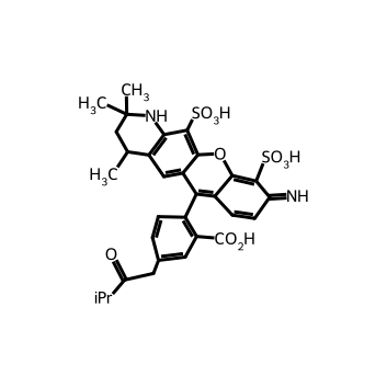 CC(C)C(=O)Cc1ccc(-c2c3ccc(=N)c(S(=O)(=O)O)c-3oc3c(S(=O)(=O)O)c4c(cc23)C(C)CC(C)(C)N4)c(C(=O)O)c1